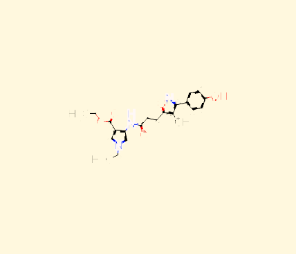 CCOC(=O)c1cn(CC)cc1NC(=O)CCc1onc(-c2ccc(O)cc2)c1C